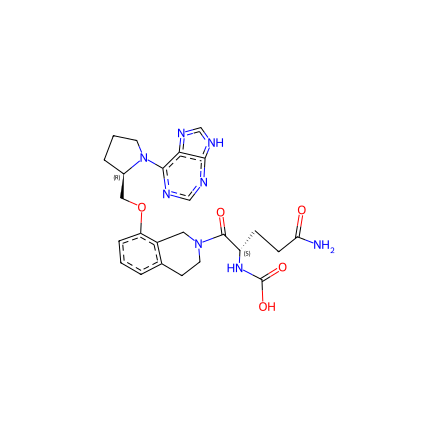 NC(=O)CC[C@H](NC(=O)O)C(=O)N1CCc2cccc(OC[C@H]3CCCN3c3ncnc4[nH]cnc34)c2C1